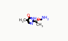 CB(OCN)c1ncc(C)c(=O)[nH]1